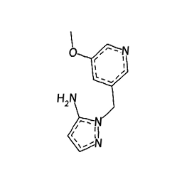 COc1cncc(Cn2nccc2N)c1